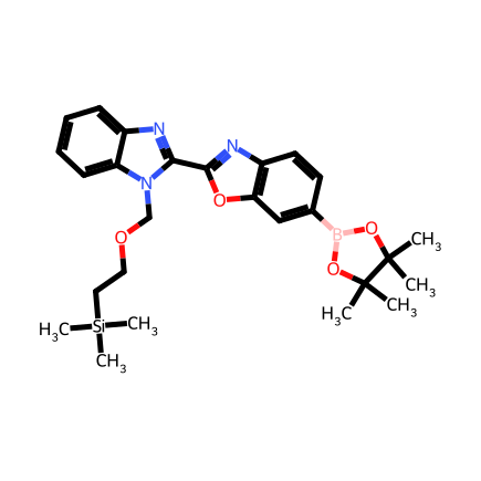 CC1(C)OB(c2ccc3nc(-c4nc5ccccc5n4COCC[Si](C)(C)C)oc3c2)OC1(C)C